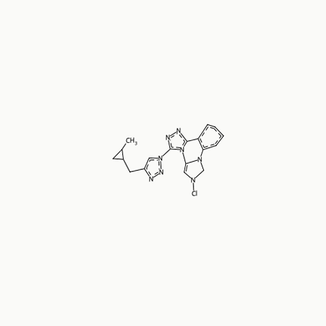 CC1CC1Cc1cn(-c2nnc3n2C2=CN(Cl)CN2c2ccccc2-3)nn1